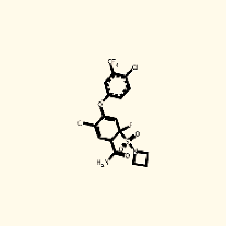 NC(=O)C1C=C(Cl)C(Oc2ccc(Cl)c(C(F)(F)F)c2)=CC1(F)S(=O)(=O)N1CCC1